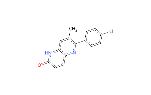 Cc1cc2[nH]c(=O)ccc2nc1-c1ccc(Cl)cc1